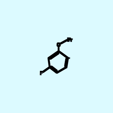 CC(C)Oc1[c]ccc(F)c1